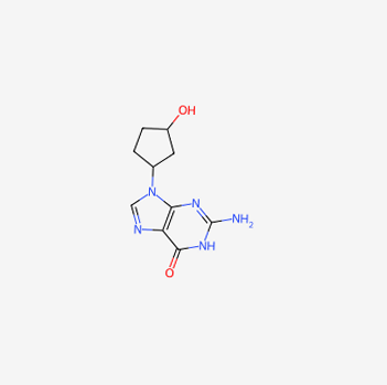 Nc1nc2c(ncn2C2CCC(O)C2)c(=O)[nH]1